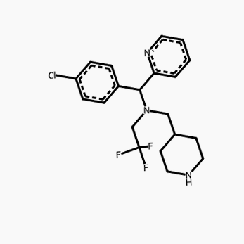 FC(F)(F)CN(CC1CCNCC1)C(c1ccc(Cl)cc1)c1ccccn1